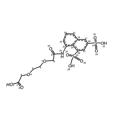 O=C(O)COCCOCC(=O)Nc1cccc2cc(S(=O)(=O)O)cc(S(=O)(=O)O)c12